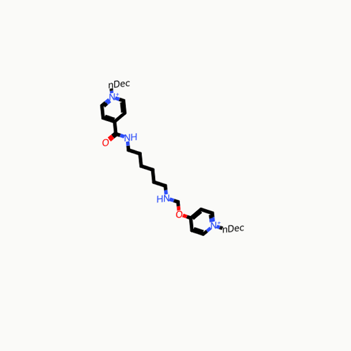 CCCCCCCCCC[n+]1ccc(OCNCCCCCCNC(=O)c2cc[n+](CCCCCCCCCC)cc2)cc1